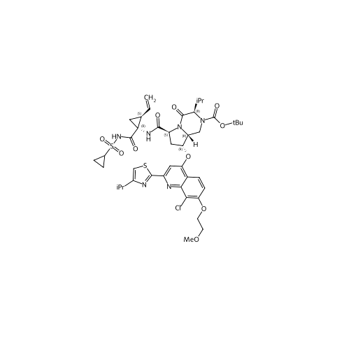 C=C[C@@H]1C[C@]1(NC(=O)[C@@H]1C[C@@H](Oc2cc(-c3nc(C(C)C)cs3)nc3c(Cl)c(OCCOC)ccc23)[C@H]2CN(C(=O)OC(C)(C)C)[C@H](C(C)C)C(=O)N21)C(=O)NS(=O)(=O)C1CC1